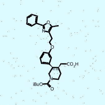 Cc1oc(-c2ccccc2)nc1CCOc1cccc([C@@H]2CN(C(=O)OCC(C)C)CC[C@@H]2CC(=O)O)c1